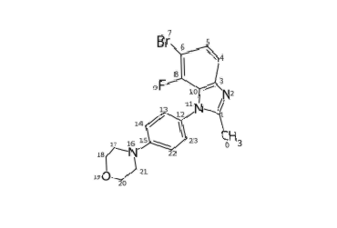 Cc1nc2ccc(Br)c(F)c2n1-c1ccc(N2CCOCC2)cc1